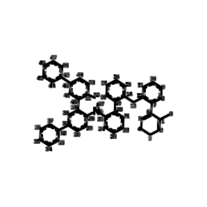 CC1=CCCC=C1c1ccccc1Cc1ccccc1-c1ccccc1N(C)c1ccc(-c2ccccc2)cc1-c1cc(-c2ccccc2)ccc1C